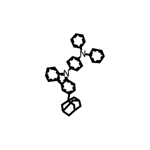 c1ccc(N(c2ccccc2)c2ccc(-n3c4ccccc4c4cc(C56CC7CC(CC(C7)C5)C6)ccc43)cc2)cc1